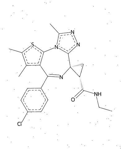 CCNC(=O)[C@H]1C[C@@]12N=C(c1ccc(Cl)cc1)c1c(sc(C)c1C)-n1c(C)nnc12